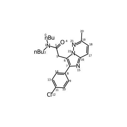 CCCCN(CCCC)C(=O)Cc1c(-c2ccc(Cl)cc2)nc2ccc(C)nn12